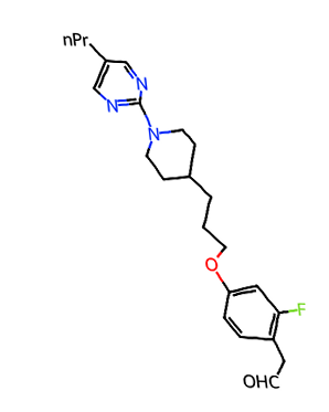 CCCc1cnc(N2CCC(CCCOc3ccc(CC=O)c(F)c3)CC2)nc1